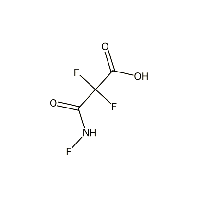 O=C(O)C(F)(F)C(=O)NF